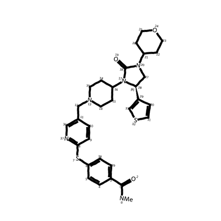 CNC(=O)c1ccc(Sc2ccc(CN3CCC(N4C(=O)N(C5CCOCC5)C[C@H]4c4ccsc4)CC3)cn2)cc1